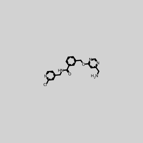 NCc1cc(OCc2cccc(C(=O)NCc3ccnc(Cl)c3)c2)ncn1